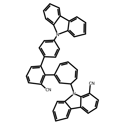 N#Cc1cccc(-c2ccc(-n3c4ccccc4c4ccccc43)cc2)c1C1=CC(n2c3ccccc3c3cccc(C#N)c32)C=CC=C1